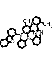 Cc1cccc2c1c1nc3cccc4c3n1c1c3c(cc(C)c21)N(c1cccc2c1oc1ccccc12)c1ccccc1B43